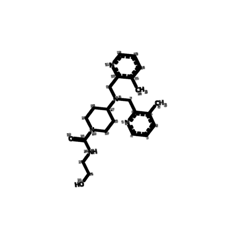 Cc1cccnc1CN(Cc1ncccc1C)C1CCN(C(=O)NCCO)CC1